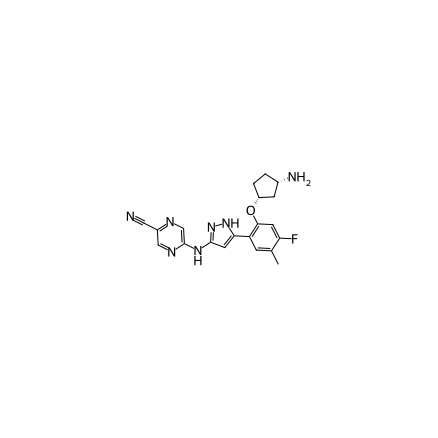 Cc1cc(-c2cc(Nc3cnc(C#N)cn3)n[nH]2)c(O[C@@H]2CC[C@H](N)C2)cc1F